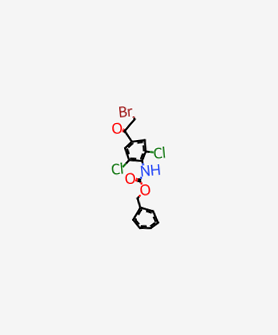 O=C(Nc1c(Cl)cc(C(=O)CBr)cc1Cl)OCc1ccccc1